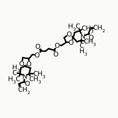 C=CC(=O)N1C(C)(C)CC2(CC1(C)C)OCC(COC(=O)CCC(=O)OCC1COC3(CC(C)(C)N(C(=O)C=C)C(C)(C)C3)O1)O2